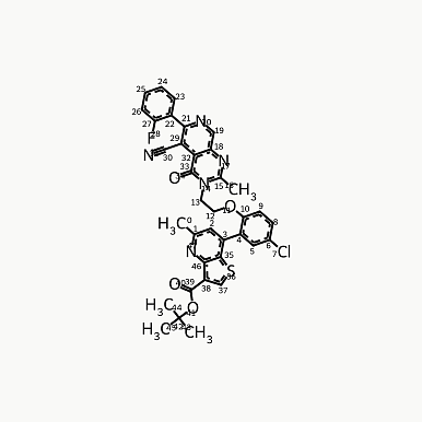 Cc1cc(-c2cc(Cl)ccc2OCCn2c(C)nc3cnc(-c4ccccc4F)c(C#N)c3c2=O)c2scc(C(=O)OC(C)(C)C)c2n1